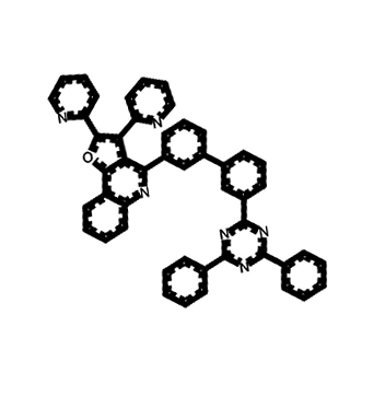 c1ccc(-c2nc(-c3ccccc3)nc(-c3cccc(-c4cccc(-c5nc6ccccc6c6oc(-c7ccccn7)c(-c7ccccn7)c56)c4)c3)n2)cc1